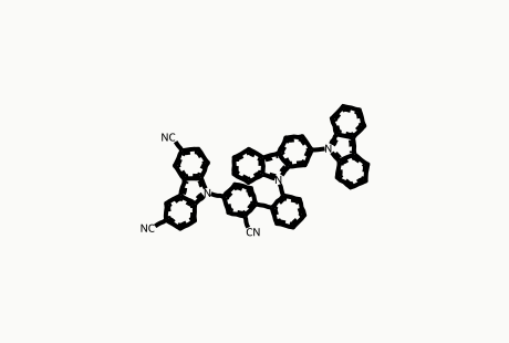 N#Cc1ccc2c(c1)c1cc(C#N)ccc1n2-c1ccc(-c2ccccc2-n2c3ccccc3c3ccc(-n4c5ccccc5c5ccccc54)cc32)c(C#N)c1